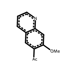 COc1cc2ncccc2cc1C(C)=O